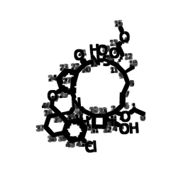 CCO[C@]1(CO)/C=C/C[C@H](C)[C@@H](CCOC)S(=O)(=O)NC(=O)c2ccc3c(c2)N(C[C@@H]2CC[C@H]21)C[C@@]1(CCCc2cc(Cl)ccc21)CO3